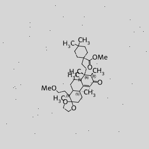 COCC[C@@]1(C)C2CC[C@]3(C)C(=CC(=O)[C@H](C)[C@@]3(C)CCC3(C(=O)OC)CCC(C)(C)CC3)[C@@]2(C)CCC12OCCO2